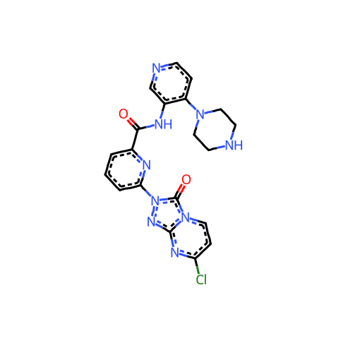 O=C(Nc1cnccc1N1CCNCC1)c1cccc(-n2nc3nc(Cl)ccn3c2=O)n1